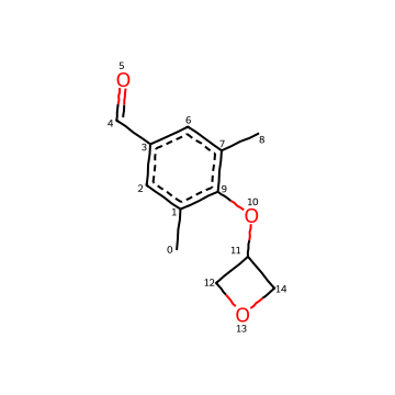 Cc1cc(C=O)cc(C)c1OC1COC1